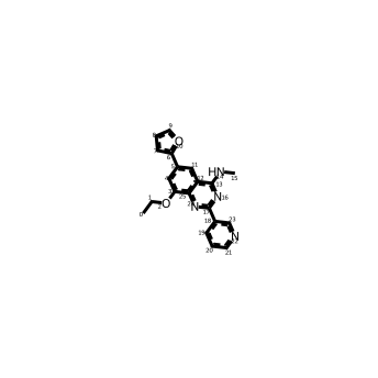 CCOc1cc(-c2ccco2)cc2c(NC)nc(-c3cccnc3)nc12